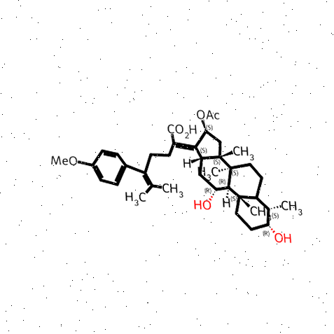 COc1ccc(C(CCC(C(=O)O)=C2[C@@H](OC(C)=O)C[C@@]3(C)[C@@H]2C[C@@H](O)[C@@H]2[C@@]4(C)CC[C@@H](O)[C@@H](C)C4CC[C@@]23C)=C(C)C)cc1